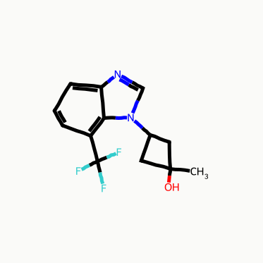 CC1(O)CC(n2cnc3cccc(C(F)(F)F)c32)C1